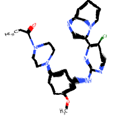 COc1ccc(N2CCN(C(C)=O)CC2)cc1Nc1ncc(Cl)c(-c2cnc3ccccn23)n1